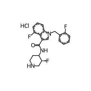 Cl.O=C(NC1CCNC[C@@H]1F)c1cn(Cc2ccccc2F)c2cccc(F)c12